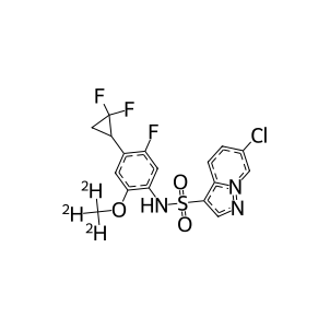 [2H]C([2H])([2H])Oc1cc(C2CC2(F)F)c(F)cc1NS(=O)(=O)c1cnn2cc(Cl)ccc12